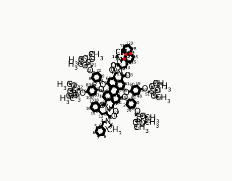 CCN(Cc1ccccc1)C(=O)C(Cc1ccccc1)N1C(=O)c2cc(Oc3ccc(OC[Si](OC)(OC)OC)cc3)c3c4c(Oc5ccc(OC[Si](OC)(OC)OC)cc5)cc5c6c(cc(Oc7ccc(OC[Si](OC)(OC)OC)cc7)c(c7c(Oc8ccc(OC[Si](OC)(OC)OC)cc8)cc(c2c37)C1=O)c64)C(=O)N(C(Cc1ccccc1)C(=O)N(CC)Cc1ccccc1)C5=O